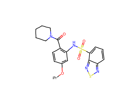 CC(C)Oc1ccc(C(=O)N2CCCCC2)c(NS(=O)(=O)c2cccc3nsnc23)c1